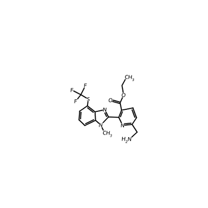 CCOC(=O)c1ccc(CN)nc1-c1nc2c(SC(F)(F)F)cccc2n1C